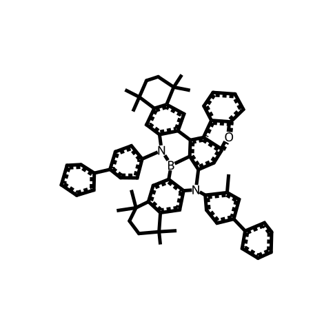 Cc1cc(-c2ccccc2)ccc1N1c2cc3c(cc2B2c4c1cc1oc5ccccc5c1c4-c1cc4c(cc1N2c1ccc(-c2ccccc2)cc1)C(C)(C)CCC4(C)C)C(C)(C)CCC3(C)C